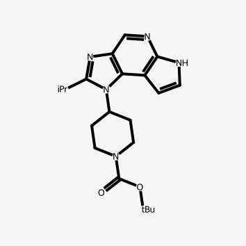 CC(C)c1nc2cnc3[nH]ccc3c2n1C1CCN(C(=O)OC(C)(C)C)CC1